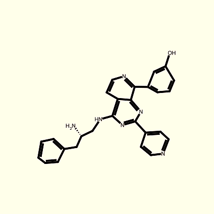 N[C@H](CNc1nc(-c2ccncc2)nc2c(-c3cccc(O)c3)nccc12)Cc1ccccc1